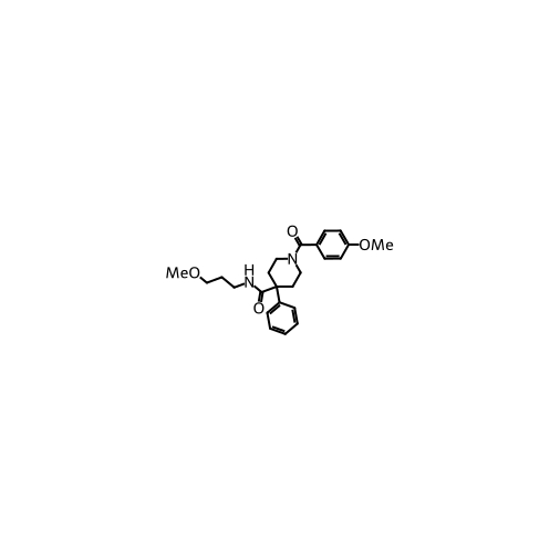 COCCCNC(=O)C1(c2ccccc2)CCN(C(=O)c2ccc(OC)cc2)CC1